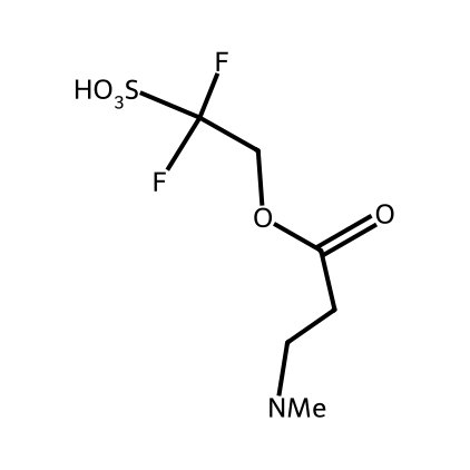 CNCCC(=O)OCC(F)(F)S(=O)(=O)O